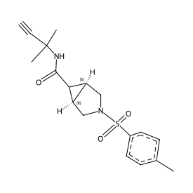 C#CC(C)(C)NC(=O)C1[C@H]2CN(S(=O)(=O)c3ccc(C)cc3)C[C@@H]12